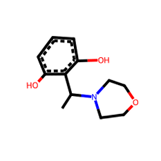 CC(c1c(O)cccc1O)N1CCOCC1